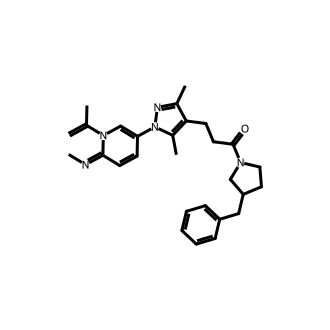 C=C(C)n1cc(-n2nc(C)c(CCC(=O)N3CCC(Cc4ccccc4)C3)c2C)cc/c1=N/C